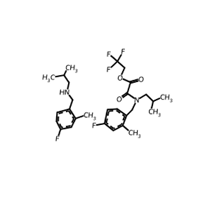 Cc1cc(F)ccc1CN(CC(C)C)C(=O)C(=O)OCC(F)(F)F.Cc1cc(F)ccc1CNCC(C)C